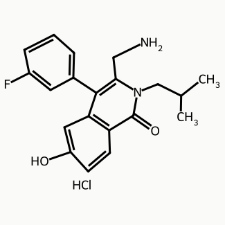 CC(C)Cn1c(CN)c(-c2cccc(F)c2)c2cc(O)ccc2c1=O.Cl